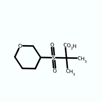 CC(C)(C(=O)O)S(=O)(=O)C1CCCOC1